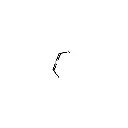 CC=C=CN